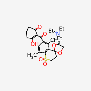 CCN(CC)CC.Cc1cc(C(=O)C2=C(O)CCCC2=O)c(C)c2c1S(=O)(=O)CCC21OCCO1